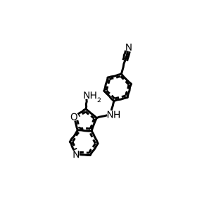 N#Cc1ccc(Nc2c(N)oc3cnccc23)cc1